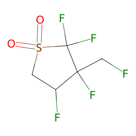 O=S1(=O)CC(F)C(F)(CF)C1(F)F